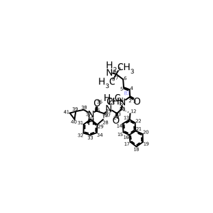 CN(C(=O)/C=C/CC(C)(C)N)[C@H](Cc1ccc2ccccc2c1)C(=O)N(C)[C@H](Cc1ccccc1)C(=O)NCC1CC1